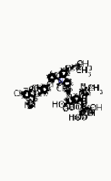 CC/C(=C(\c1ccccc1)c1ccc(OCCN(C)C)cc1)c1ccccc1.CN1C[C@@H]2C[C@H]1CN2c1cc2c(cc1F)c(=O)c(C(=O)O)cn2C1CC1.Clc1ccc(COC(Cn2ccnc2)c2ccc(Cl)cc2Cl)c(Cl)c1.O=C(O)CC(O)(CC(=O)O)C(=O)O